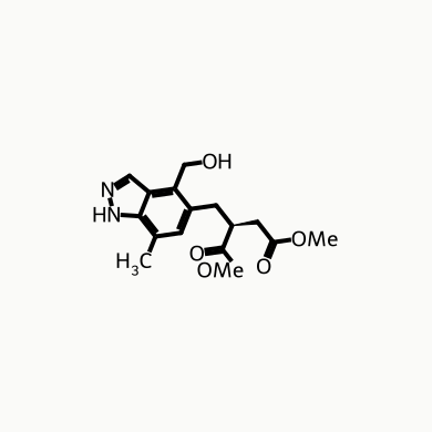 COC(=O)C[C@H](Cc1cc(C)c2[nH]ncc2c1CO)C(=O)OC